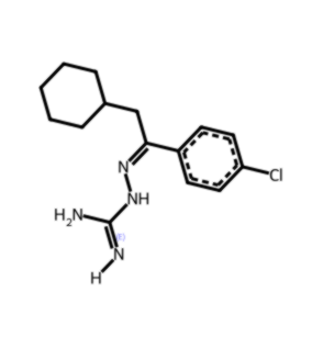 [H]/N=C(\N)NN=C(CC1CCCCC1)c1ccc(Cl)cc1